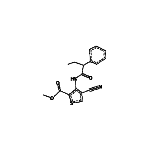 CCC(C(=O)Nc1c(C#N)csc1C(=O)OC)c1ccccc1